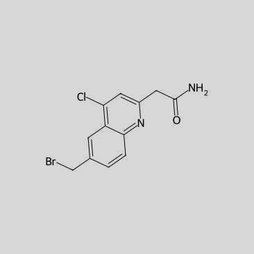 NC(=O)Cc1cc(Cl)c2cc(CBr)ccc2n1